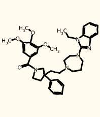 CCn1c(N2CCCN(CCC3(c4ccccc4)CCN(C(=O)c4cc(OC)c(OC)c(OC)c4)C3)CC2)nc2ccccc21